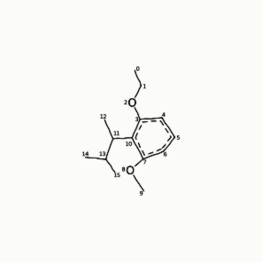 CCOc1cccc(OC)c1C(C)C(C)C